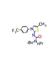 CCCN(C(=O)N=c1sc(C)cn1-c1ccc(C(F)(F)F)cc1)C(C)CC